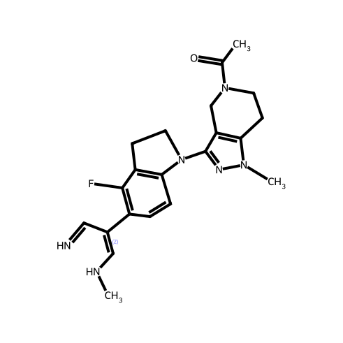 CN/C=C(\C=N)c1ccc2c(c1F)CCN2c1nn(C)c2c1CN(C(C)=O)CC2